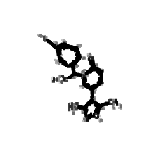 Cc1noc(C)c1-c1ccc(=O)n(C(C)c2cccc(F)c2)c1